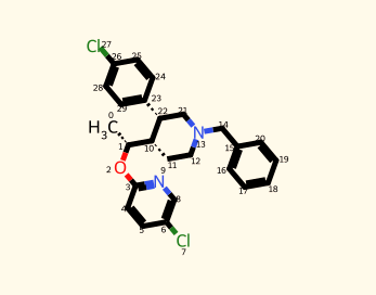 C[C@@H](Oc1ccc(Cl)cn1)[C@H]1CCN(Cc2ccccc2)C[C@H]1c1ccc(Cl)cc1